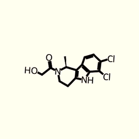 C[C@H]1c2c([nH]c3c(Cl)c(Cl)ccc23)CCN1C(=O)CO